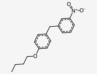 CCCCOc1ccc(Cc2cccc([N+](=O)[O-])c2)cc1